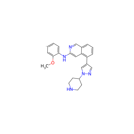 COc1c[c]ccc1Nc1cc2c(-c3cnn(C4CCNCC4)c3)cccc2cn1